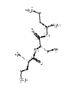 N[C@@H](CCC(=O)O)C(=O)N[C@@H](CS)C(=O)N[C@@H](CCC(=O)O)C(=O)O